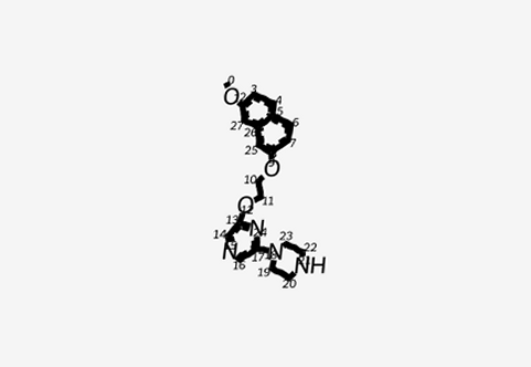 COc1ccc2ccc(OCCOc3cncc(N4CCNCC4)n3)cc2c1